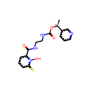 C[C@H](OC(=O)NCCNC(=O)c1cccc(=S)n1O)c1cccnc1